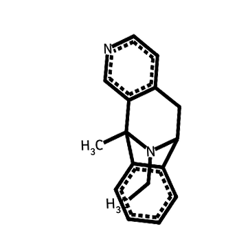 CCN1C2Cc3ccncc3C1(C)c1ccccc12